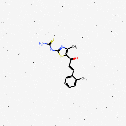 Cc1ccccc1C=CC(=O)c1sc(NC(N)=S)nc1C